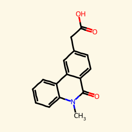 Cn1c(=O)c2ccc(CC(=O)O)cc2c2ccccc21